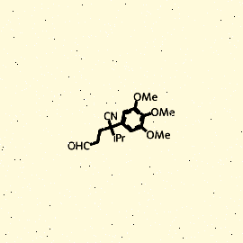 COc1cc(C(C#N)(CCC=O)C(C)C)cc(OC)c1OC